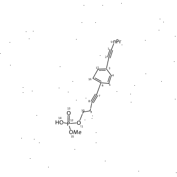 CCCC#Cc1ccc(C#CCCOP(=O)(O)OC)cc1